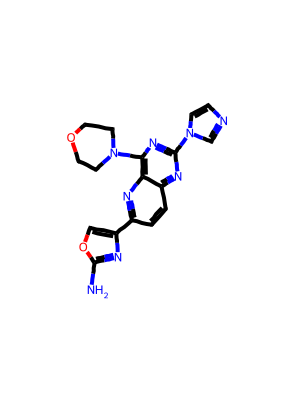 Nc1nc(-c2ccc3nc(-n4ccnc4)nc(N4CCOCC4)c3n2)co1